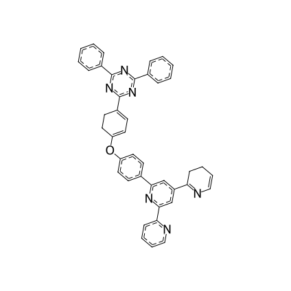 C1=CN=C(c2cc(-c3ccc(OC4=CC=C(c5nc(-c6ccccc6)nc(-c6ccccc6)n5)CC4)cc3)nc(-c3ccccn3)c2)CC1